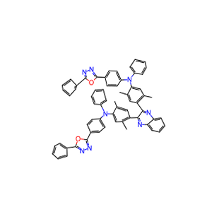 Cc1cc(N(c2ccccc2)c2ccc(-c3nnc(-c4ccccc4)o3)cc2)c(C)cc1-c1nc2ccccc2nc1-c1cc(C)c(N(c2ccccc2)c2ccc(-c3nnc(-c4ccccc4)o3)cc2)cc1C